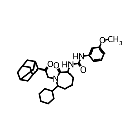 COc1cccc(NC(=O)NC2CCCC(C3CCCCC3)N(CC(=O)C3C4CC5CC(C4)CC3C5)C2=O)c1